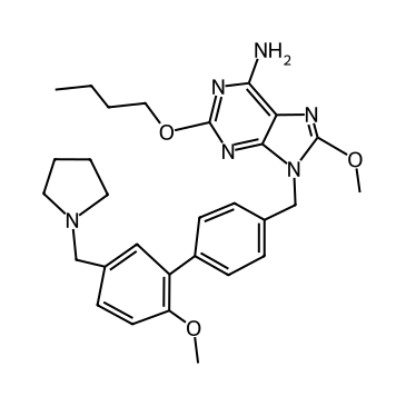 CCCCOc1nc(N)c2nc(OC)n(Cc3ccc(-c4cc(CN5CCCC5)ccc4OC)cc3)c2n1